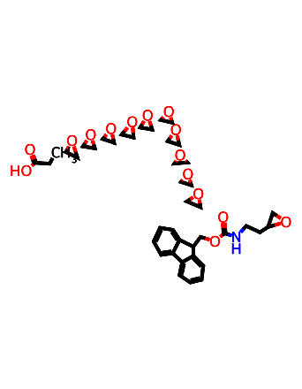 C1CO1.C1CO1.C1CO1.C1CO1.C1CO1.C1CO1.C1CO1.C1CO1.C1CO1.C1CO1.CCC(=O)O.O=C(NCCC1CO1)OCC1c2ccccc2-c2ccccc21